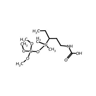 CCC(CCNC(=O)O)[Si](C)(C)O[Si](OC)(OC)OC